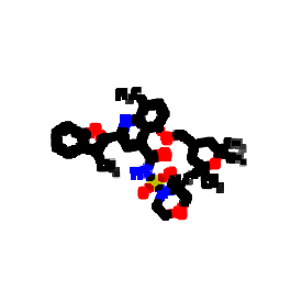 Cc1c(-c2cc(C(=O)NS(=O)(=O)N3CCOCC3)c3c(OCC4CC(C)(C)OC(C)(C)C4)ccc(C)c3n2)oc2ccccc12